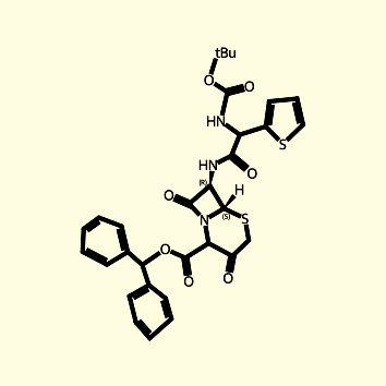 CC(C)(C)OC(=O)NC(C(=O)N[C@@H]1C(=O)N2C(C(=O)OC(c3ccccc3)c3ccccc3)C(=O)CS[C@@H]12)c1cccs1